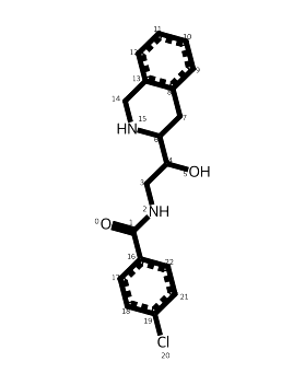 O=C(NCC(O)C1Cc2ccccc2CN1)c1ccc(Cl)cc1